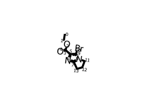 CCOC(=O)c1nc2n(c1Br)CCC2